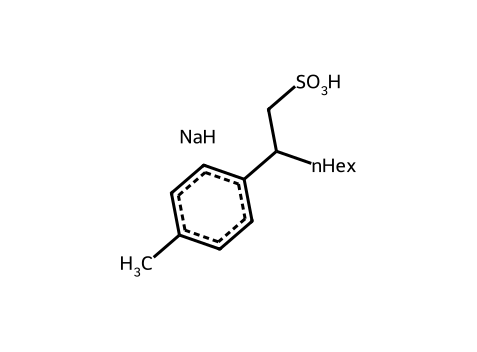 CCCCCCC(CS(=O)(=O)O)c1ccc(C)cc1.[NaH]